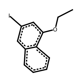 CCOc1cc(I)cc2ccccc12